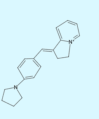 C(=C1CC[n+]2ccccc21)c1ccc(N2CCCC2)cc1